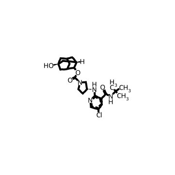 CC(C)(C)NC(=O)c1cc(Cl)cnc1N[C@@H]1CCN(C(=O)OC2C3CC4C[C@H]2C[C@@](O)(C4)C3)C1